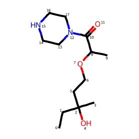 CCC(C)(O)CCOC(C)C(=O)N1CCNCC1